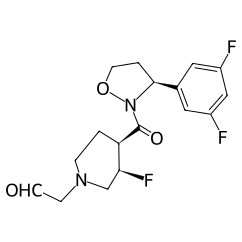 O=CCN1CC[C@@H](C(=O)N2OCC[C@H]2c2cc(F)cc(F)c2)[C@@H](F)C1